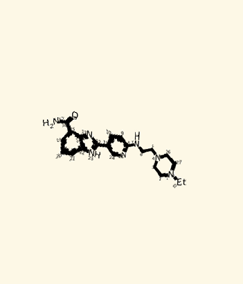 CCN1CCN(CCNc2ccc(-c3nc4c(C(N)=O)cccc4[nH]3)cn2)CC1